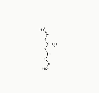 C=CCC(O)COCCO